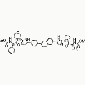 COC(=O)N[C@@H](C)C(=O)N1CCC[C@H]1c1ncc(-c2ccc3cc(-c4ccc(-c5cnc([C@@H]6COCCN6C(=O)[C@H](NC(=O)OC)c6ccccc6)[nH]5)cc4)ccc3c2)[nH]1